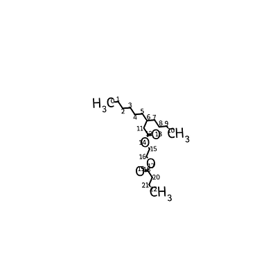 CCCCCCC(CCCC)CC(=O)OCCOC(=O)CCC